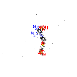 Nc1cc(N)c(S(=O)(=O)O)cc1N=Nc1ccc(OOSCCOS(=O)(=O)O)cc1